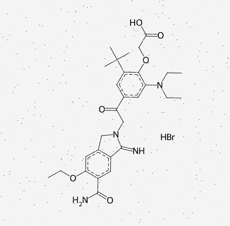 Br.CCOc1cc2c(cc1C(N)=O)C(=N)N(CC(=O)c1cc(N(CC)CC)c(OCC(=O)O)c(C(C)(C)C)c1)C2